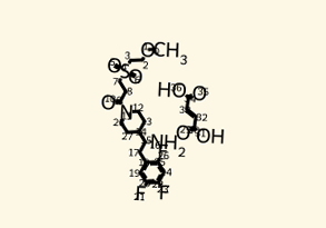 COCCS(=O)(=O)CCC(=O)N1CCC([C@H](N)Cc2cc(F)c(F)cc2F)CC1.O=C(O)C=CC(=O)O